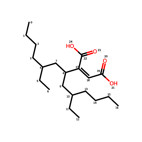 CCCCC(CC)CC(CC(CC)CCCC)C(=CC(=O)O)C(=O)O